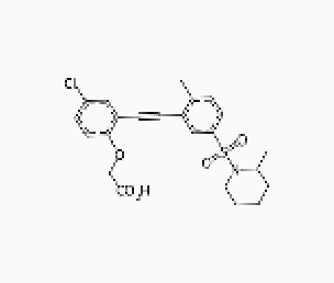 Cc1ccc(S(=O)(=O)N2CCCCC2C)cc1C#Cc1cc(Cl)ccc1OCC(=O)O